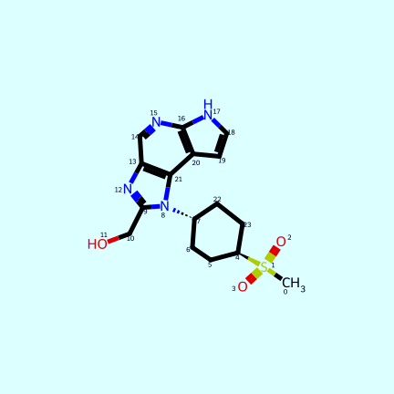 CS(=O)(=O)[C@H]1CC[C@H](n2c(CO)nc3cnc4[nH]ccc4c32)CC1